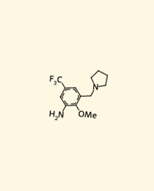 COc1c(N)cc(C(F)(F)F)cc1CN1CCCC1